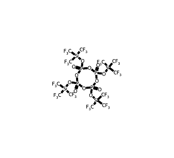 O=P1(O[Si](C(F)(F)F)(C(F)(F)F)C(F)(F)F)OP(=O)(O[Si](C(F)(F)F)(C(F)(F)F)C(F)(F)F)OP(=O)(O[Si](C(F)(F)F)(C(F)(F)F)C(F)(F)F)OP(=O)(O[Si](C(F)(F)F)(C(F)(F)F)C(F)(F)F)O1